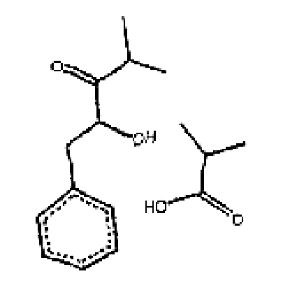 CC(C)C(=O)C(O)Cc1ccccc1.CC(C)C(=O)O